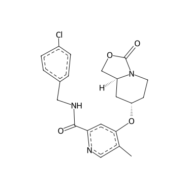 Cc1cnc(C(=O)NCc2ccc(Cl)cc2)cc1O[C@H]1CCN2C(=O)OC[C@@H]2C1